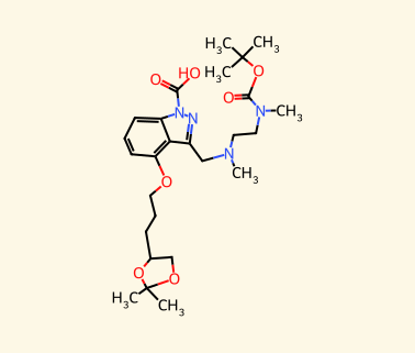 CN(CCN(C)C(=O)OC(C)(C)C)Cc1nn(C(=O)O)c2cccc(OCCCC3COC(C)(C)O3)c12